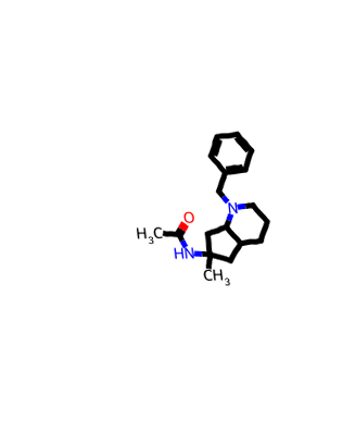 CC(=O)NC1(C)CC2CCCN(Cc3ccccc3)C2C1